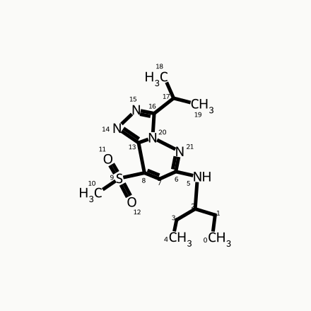 CCC(CC)Nc1cc(S(C)(=O)=O)c2nnc(C(C)C)n2n1